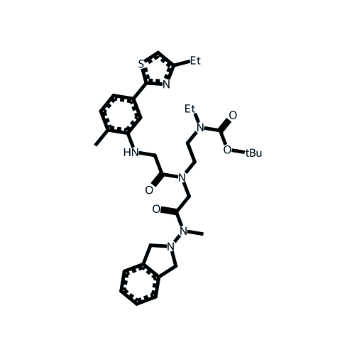 CCc1csc(-c2ccc(C)c(NCC(=O)N(CCN(CC)C(=O)OC(C)(C)C)CC(=O)N(C)N3Cc4ccccc4C3)c2)n1